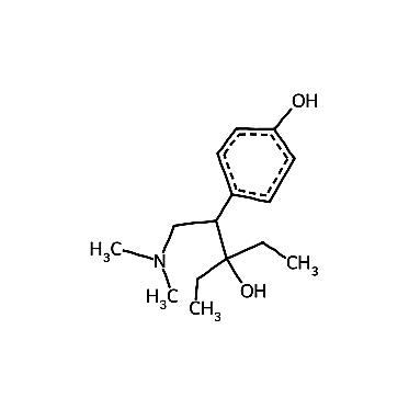 CCC(O)(CC)C(CN(C)C)c1ccc(O)cc1